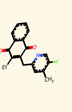 CCC1=C(Cc2cc(C)c(F)cn2)C(=O)c2ccccc2C1=O